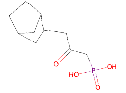 O=C(CC1CC2CCC1C2)CP(=O)(O)O